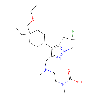 CCOCC1(CC)CC=C(c2c(CN(C)CCN(C)C(=O)O)nn3c2CC(F)(F)C3)CC1